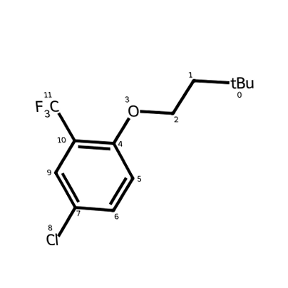 CC(C)(C)CCOc1ccc(Cl)cc1C(F)(F)F